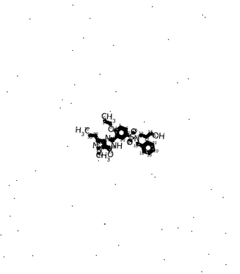 CCCOc1ccc(S(=O)(=O)N(CCCO)Cc2ccccc2)cc1-c1nc2c(CCC)nn(C)c2c(=O)[nH]1